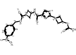 CC(=O)SC1CN(c2nc(C(=O)NC3CN(C(=O)OCc4ccc([N+](=O)[O-])cc4)C3)cs2)C1